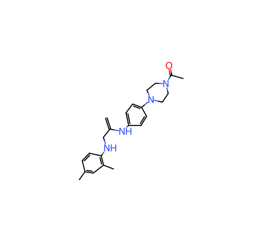 C=C(CNc1ccc(C)cc1C)Nc1ccc(N2CCN(C(C)=O)CC2)cc1